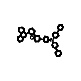 C1=Cc2c(-c3cccc4c3oc3ccc(-c5ccc(N(c6ccc(-c7ccccc7)cc6)C6C=CC(c7ccccc7)=CC6)cc5)cc34)cc3ccccc3c2CC1